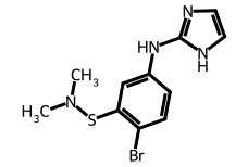 CN(C)Sc1cc(Nc2ncc[nH]2)ccc1Br